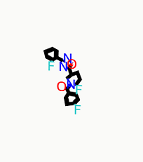 O=C(c1ccc(F)cc1F)N1CCCC(c2nc(-c3ccccc3F)no2)C1